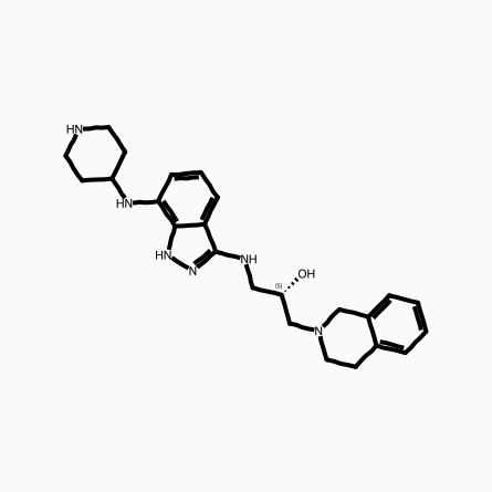 O[C@@H](CNc1n[nH]c2c(NC3CCNCC3)cccc12)CN1CCc2ccccc2C1